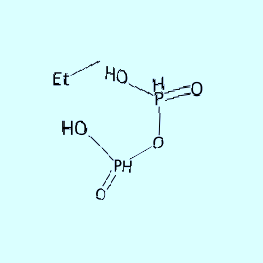 CCC.O=[PH](O)O[PH](=O)O